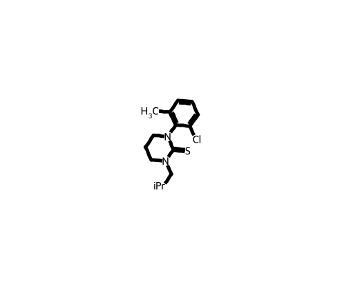 Cc1cccc(Cl)c1N1CCCN(CC(C)C)C1=S